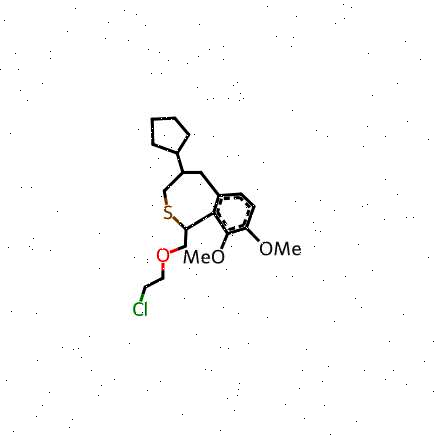 COc1ccc2c(c1OC)C(COCCCl)SCC(C1CCCC1)C2